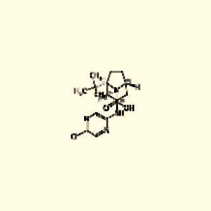 CC(C)(C)[C@@]12CC[C@H](C[C@@H](Nc3cnc(Cl)cn3)[C@H]1F)N2C(=O)O